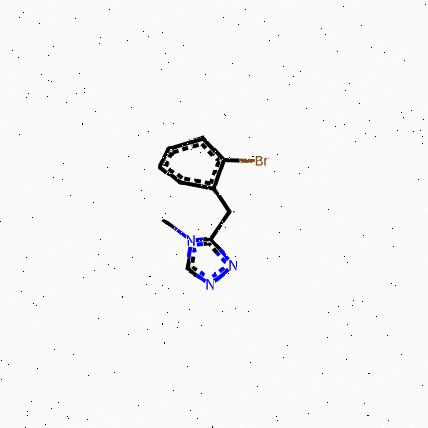 Cn1cnnc1[CH]c1ccccc1Br